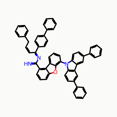 N=C(/N=C(\C=C/Cc1ccccc1)c1ccc(-c2ccccc2)cc1)c1cccc2oc3c(-n4c5ccc(-c6ccccc6)cc5c5cc(-c6ccccc6)ccc54)cccc3c12